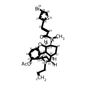 C=CCN1CC[C@@]23c4c5ccc(OC(C)=O)c4C[C@@H]1[C@@H]2CC[C@H](N(C)C(=O)/C=C/c1cc(Br)cs1)[C@@H]3O5